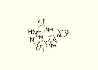 C[C@H]1COCCN1c1ccc2c(-c3nc(N[C@@H]4CNCC(F)(F)C4)ncc3C(F)(F)F)c[nH]c2n1